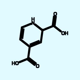 O=C(O)[C]1C=C(C(=O)O)C=CN1